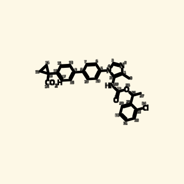 Cc1ncn(-c2ccc(-c3ccc(C4(C(=O)O)CC4)cc3)cc2)c1NC(=O)OC(C)c1ccccc1Cl